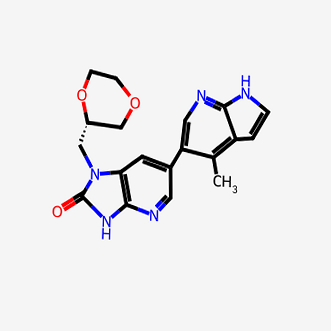 Cc1c(-c2cnc3[nH]c(=O)n(C[C@H]4COCCO4)c3c2)cnc2[nH]ccc12